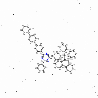 c1ccc(-c2ccc(-c3ccc(-c4nc(-c5ccccc5)nc(-c5ccc(C6(c7ccccc7)c7ccccc7-c7c6c6ccccc6c6ccccc76)cc5)n4)cc3)cc2)cc1